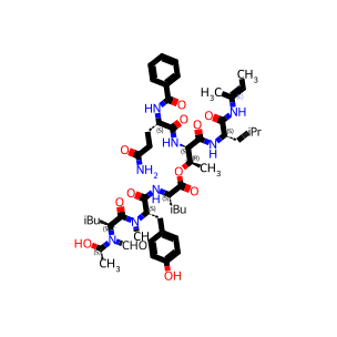 C/C=C(\C)NC(=O)[C@H](CC(C)C)NC(=O)[C@@H](NC(=O)[C@H](CCC(N)=O)NC(=O)c1ccccc1)[C@@H](C)OC(=O)[C@@H](NC(=O)[C@H](Cc1ccc(O)cc1)N(C)C(=O)[C@H](C(C)CC)N(C=O)[C@H](C)O)C(C)CC